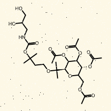 CC(=O)OCC1O[C@@H](C(C)(C)OCCC(C)(C)OC(=O)NCC(O)CO)C(OC(C)=O)C(OC(C)=O)[C@@H]1OC(C)=O